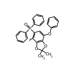 CC1(C)Oc2c(Oc3ccccc3)cc(P(=O)(c3ccccc3)c3ccccc3)c(I)c2O1